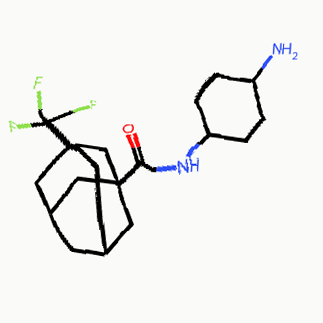 NC1CCC(NC(=O)C23CC4CC(C2)CC(C(F)(F)F)(C4)C3)CC1